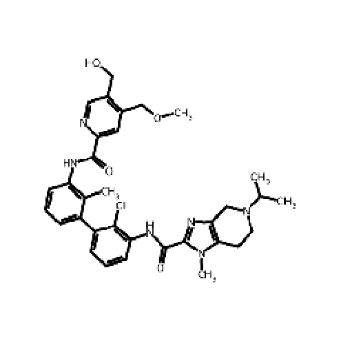 COCc1cc(C(=O)Nc2cccc(-c3cccc(NC(=O)c4nc5c(n4C)CCN(C(C)C)C5)c3Cl)c2C)ncc1CO